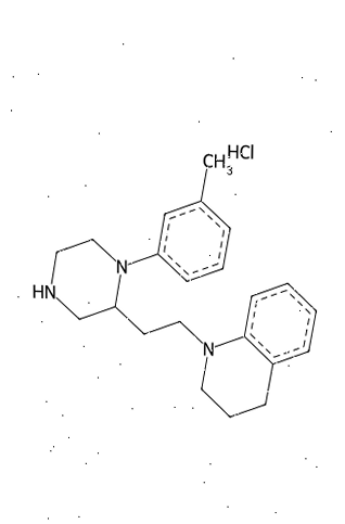 Cc1cccc(N2CCNCC2CCN2CCCc3ccccc32)c1.Cl